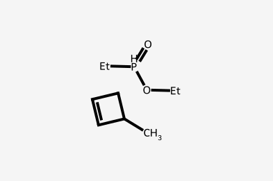 CC1C=CC1.CCO[PH](=O)CC